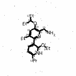 CCOC1NC(C(C)C)=CC=C1c1nc(CN)c(OC(CC)CC)cc1CC